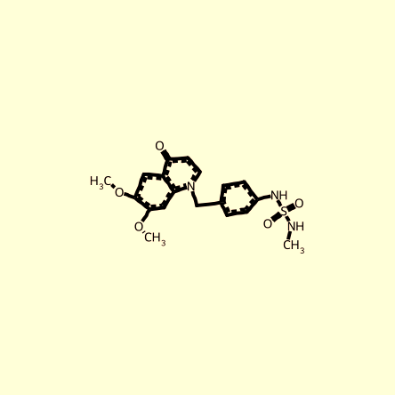 CNS(=O)(=O)Nc1ccc(Cn2ccc(=O)c3cc(OC)c(OC)cc32)cc1